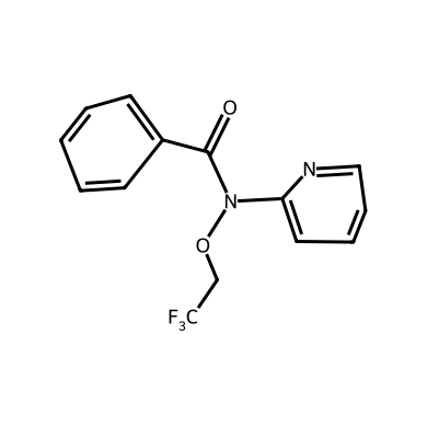 O=C(c1ccccc1)N(OCC(F)(F)F)c1ccccn1